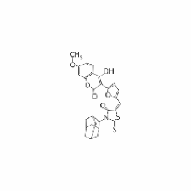 COc1ccc2c(O)c(-c3ccc(C=C4SC(=S)N(C5C6CC7CC(C6)CC5C7)C4=O)o3)c(=O)oc2c1